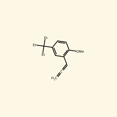 C=C=Cc1cc(C(CC)(CC)CC)ccc1OC